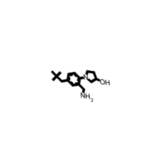 CC(C)(C)Cc1ccc(N2CCC(O)C2)c(CN)c1